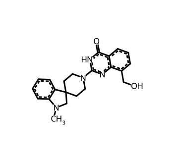 CN1CC2(CCN(c3nc4c(CO)cccc4c(=O)[nH]3)CC2)c2ccccc21